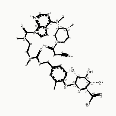 Cc1cc(COC(=O)N(C)CCN(C)C(=O)n2ccc3c(N(C)[C@H]4CN(C(=O)CC#N)CC[C@H]4C)ncnc32)ccc1O[C@@H]1O[C@H](C(=O)O)[C@@H](O)[C@H](O)[C@H]1O